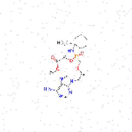 CC(C)OC(=O)[C@H](C)OP(=O)(CO[C@H](C)Cn1cnc2c(N)ncnc21)NC1(C(=O)O)CCCCC1